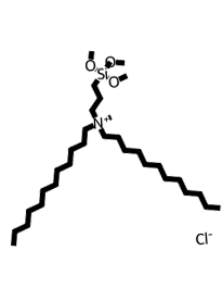 CCCCCCCCCCCC[N+](C)(CCCCCCCCCCCC)CCC[Si](OC)(OC)OC.[Cl-]